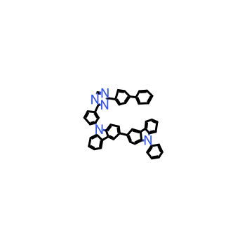 c1ccc(-c2ccc(-c3ncnc(-c4cccc(-n5c6ccccc6c6cc(-c7ccc8c(c7)c7ccccc7n8-c7ccccc7)ccc65)c4)n3)cc2)cc1